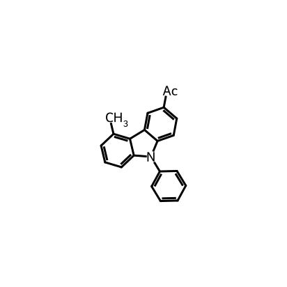 CC(=O)c1ccc2c(c1)c1c(C)cccc1n2-c1ccccc1